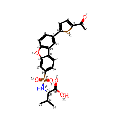 CC(=O)c1ccc(-c2ccc3oc4cc(S(=O)(=O)N[C@H](C(=O)O)C(C)C)ccc4c3c2)s1